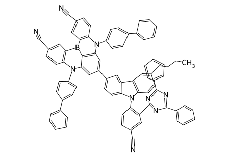 CCCCc1ccc2c(c1)c1cc(-c3cc4c5c(c3)N(c3ccc(-c6ccccc6)cc3)c3ccc(C#N)cc3B5c3cc(C#N)ccc3N4c3ccc(-c4ccccc4)cc3)ccc1n2-c1ccc(C#N)cc1-c1nc(-c2ccccc2)nc(-c2ccccc2)n1